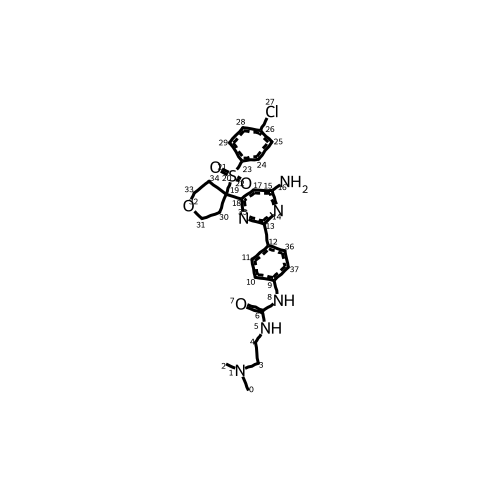 CN(C)CCNC(=O)Nc1ccc(-c2nc(N)cc(C3(S(=O)(=O)c4ccc(Cl)cc4)CCOCC3)n2)cc1